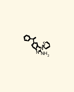 C=C(c1ccccc1)c1ccc2nc(N)n(N3C=CC=CS3)c2c1